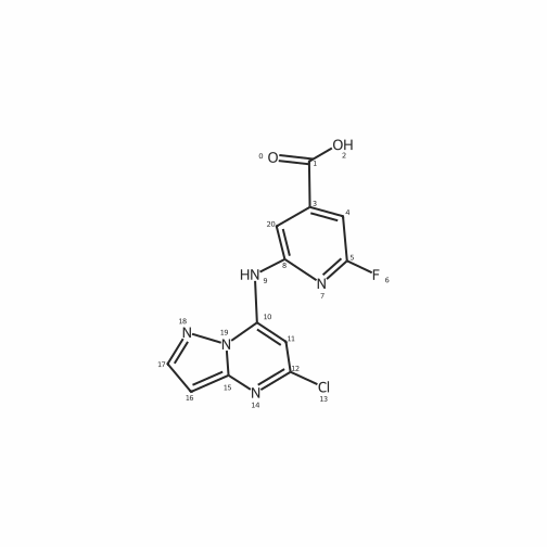 O=C(O)c1cc(F)nc(Nc2cc(Cl)nc3ccnn23)c1